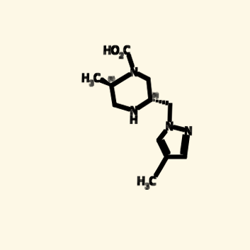 Cc1cnn(C[C@H]2CN(C(=O)O)[C@H](C)CN2)c1